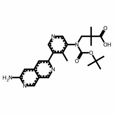 Cc1c(-c2cc3cc(N)ncc3cn2)cncc1N(CC(C)(C)C(=O)O)C(=O)OC(C)(C)C